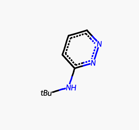 CC(C)(C)Nc1cccnn1